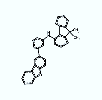 CC1(C)c2ccccc2-c2c(Nc3cccc(-c4ccc5oc6ccccc6c5c4)c3)cccc21